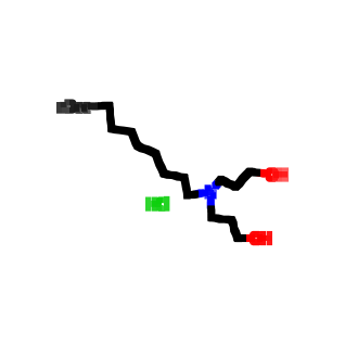 CCCCCCCCCCCCCCCCCCN(CCCO)CCCO.Cl